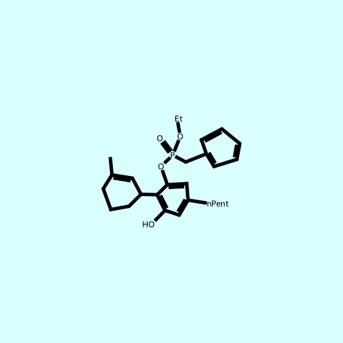 CCCCCc1cc(O)c(C2C=C(C)CCC2)c(OP(=O)(Cc2ccccc2)OCC)c1